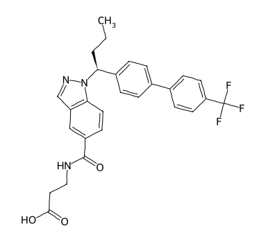 CCC[C@@H](c1ccc(-c2ccc(C(F)(F)F)cc2)cc1)n1ncc2cc(C(=O)NCCC(=O)O)ccc21